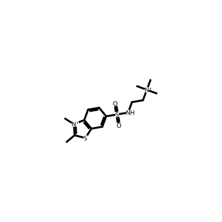 Cc1sc2cc(S(=O)(=O)NCC[N+](C)(C)C)ccc2[n+]1C